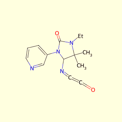 CCN1C(=O)N(c2cccnc2)C(N=C=C=O)C1(C)C